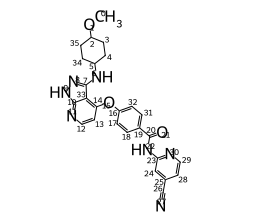 COC1CCC(Nc2n[nH]c3nccc(Oc4ccc(C(=O)Nc5cc(C#N)ccn5)cc4)c23)CC1